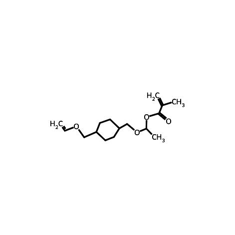 C=COCC1CCC(COC(C)OC(=O)C(=C)C)CC1